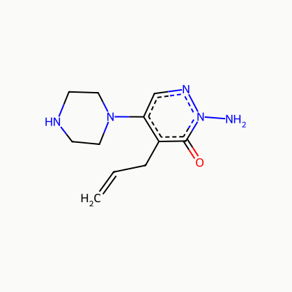 C=CCc1c(N2CCNCC2)cnn(N)c1=O